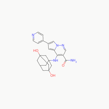 NC(=O)c1cnn2cc(-c3ccncc3)cc2c1NC12CC3CC(O)(CC(O)(C3)C1)C2